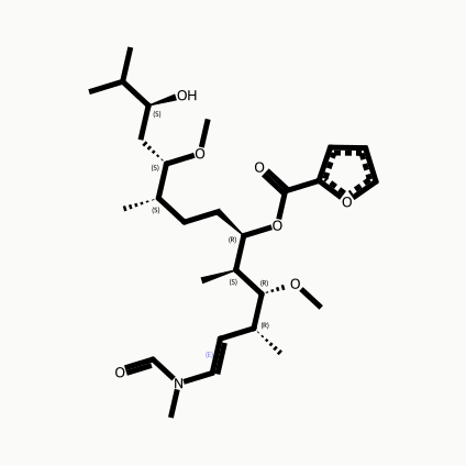 CO[C@@H]([C@@H](C)[C@@H](CC[C@H](C)[C@H](C[C@H](O)C(C)C)OC)OC(=O)c1ccco1)[C@H](C)/C=C/N(C)C=O